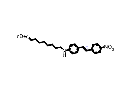 CCCCCCCCCCCCCCCCCCNc1ccc(/C=C/c2ccc([N+](=O)[O-])cc2)cc1